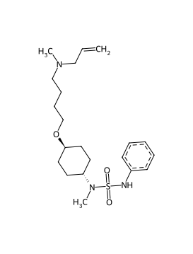 C=CCN(C)CCCCO[C@H]1CC[C@H](N(C)S(=O)(=O)Nc2ccccc2)CC1